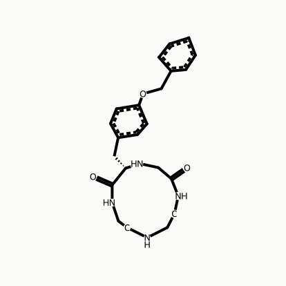 O=C1CN[C@@H](Cc2ccc(OCc3ccccc3)cc2)C(=O)NCCNCCN1